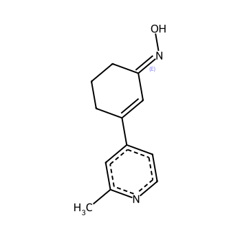 Cc1cc(C2=C/C(=N/O)CCC2)ccn1